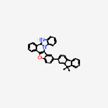 CC1(C)c2ccccc2-c2ccc(-c3ccc4oc5c(c4c3)N3c4ccccc4NC3c3ccccc3-5)cc21